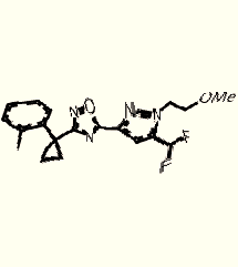 COCCn1nc(-c2nc(C3(c4ccccc4C)CC3)no2)cc1C(F)F